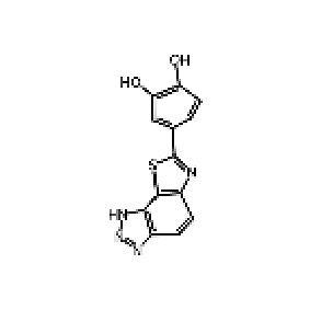 Oc1ccc(-c2nc3ccc4nn[nH]c4c3s2)cc1O